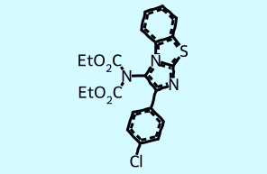 CCOC(=O)N(C(=O)OCC)c1c(-c2ccc(Cl)cc2)nc2sc3ccccc3n12